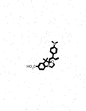 C=C/C(=C\C12OCCN1c1ccc(C(=O)O)cc1C2(C)C)c1ccc(N(C)C)cc1